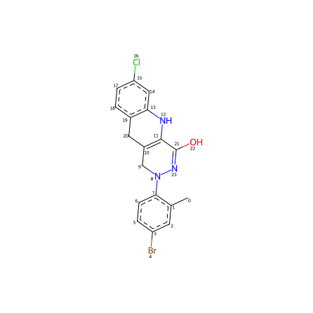 Cc1cc(Br)ccc1N1CC2=C(Nc3cc(Cl)ccc3C2)C(O)=N1